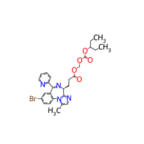 CCC(CC)OC(=O)OCOC(=O)CC[C@@H]1N=C(c2ccccn2)c2cc(Br)ccc2-n2c(C)cnc21